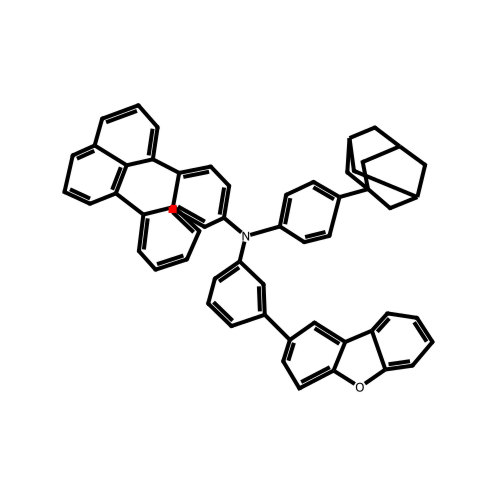 c1ccc(-c2cccc3cccc(-c4ccc(N(c5ccc(C67CC8CC(CC(C8)C6)C7)cc5)c5cccc(-c6ccc7oc8ccccc8c7c6)c5)cc4)c23)cc1